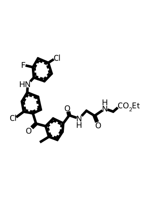 CCOC(=O)CNC(=O)CNC(=O)c1ccc(C)c(C(=O)c2ccc(Nc3ccc(Cl)cc3F)cc2Cl)c1